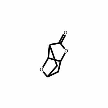 O=C1OC2CC3CC1C2O3